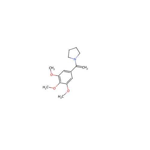 C=C(c1cc(OC)c(OC)c(OC)c1)N1CCCC1